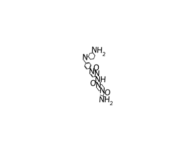 CN(Cc1ccc(-n2ccc(NC(=O)N3CCN(C(=O)C(C)(C)N)CC3)nc2=O)cc1)C1CCC[C@@H](N)C1